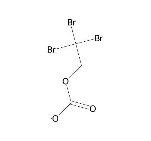 [O]C(=O)OCC(Br)(Br)Br